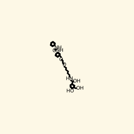 O=C(Nc1ccccc1)Nc1cccc(COCCOCCCCCCCNC[C@H](O)c2ccc(O)c(CO)c2)c1